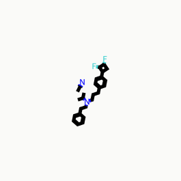 CC#N.CC(C)N(CCCc1ccc(C2CC(F)C2F)cc1)CCc1ccccc1